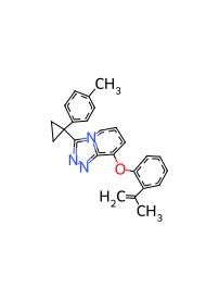 C=C(C)c1ccccc1Oc1cccn2c(C3(c4ccc(C)cc4)CC3)nnc12